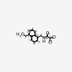 CCc1nccc2c(CNC(=O)C(Cl)Cl)cccc12